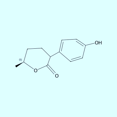 C[C@H]1CCC(c2ccc(O)cc2)C(=O)O1